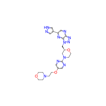 c1nc(N2CCO[C@H](Cn3nnc4ncc(-c5cn[nH]c5)nc43)C2)ncc1OCCN1CCOCC1